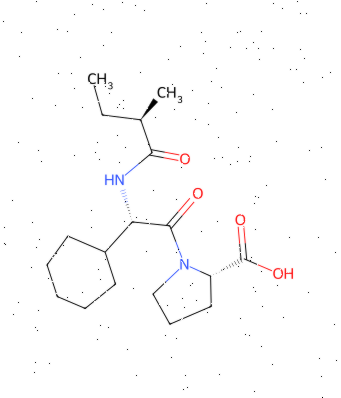 CC[C@@H](C)C(=O)N[C@H](C(=O)N1CCC[C@H]1C(=O)O)C1CCCCC1